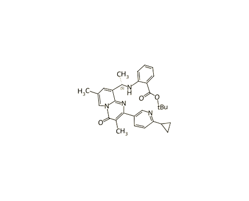 Cc1cc([C@H](C)Nc2ccccc2C(=O)OC(C)(C)C)c2nc(-c3ccc(C4CC4)nc3)c(C)c(=O)n2c1